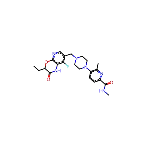 CCC1Oc2ncc(CN3CCN(c4ccc(C(=O)NC)nc4C)CC3)c(F)c2NC1=O